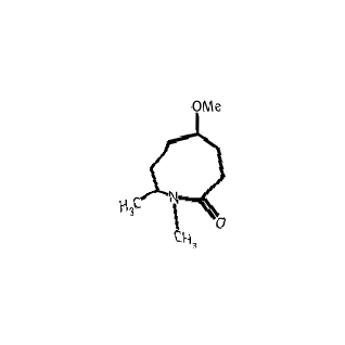 COC1CCC(=O)N(C)C(C)CC1